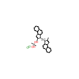 CC1=Cc2c(ccc3ccccc23)[CH]1[Zr+2][CH]1C(C)=Cc2c1ccc1ccccc21.C[Si](C)(O)O.[Cl-].[Cl-]